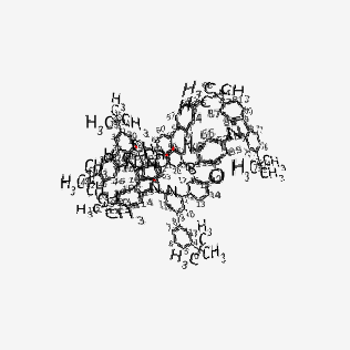 CC(C)(C)c1cccc(-c2cc(-c3ccc4c(c3)B3c5cc(-c6cccc(-n7c8ccc(C(C)(C)C)cc8c8cc(C(C)(C)C)ccc87)n6)ccc5N(c5ccccc5-c5ccccc5)c5cc(-n6c7cc(C(C)(C)C)ccc7c7ccc(C(C)(C)C)cc76)cc(c53)O4)nc(-n3c4ccc(C(C)(C)C)cc4c4cc(C(C)(C)C)ccc43)c2)c1